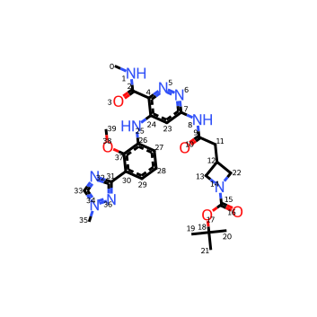 CNC(=O)c1nnc(NC(=O)CC2CN(C(=O)OC(C)(C)C)C2)cc1Nc1cccc(-c2ncn(C)n2)c1OC